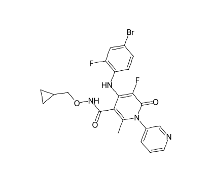 Cc1c(C(=O)NOCC2CC2)c(Nc2ccc(Br)cc2F)c(F)c(=O)n1-c1cccnc1